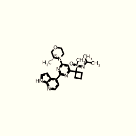 CC(C)N=S(C)(=O)C1(c2cc(N3CCOC[C@H]3C)nc(-c3ccnc4[nH]ccc34)n2)CCC1